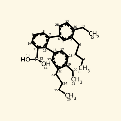 CCCCc1cc(-c2cccc(P(O)O)c2-c2ccc(CC)c(CCCC)c2)ccc1CC